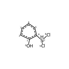 Oc1ccccc1[SiH](Cl)Cl